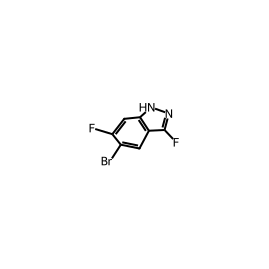 Fc1cc2[nH]nc(F)c2cc1Br